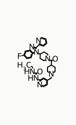 CCNC(=O)Nc1cc(CN2CCC(C(=O)N3CCC(n4c(-c5ccccn5)nc5cc(F)ccc54)CC3)CC2)ccn1